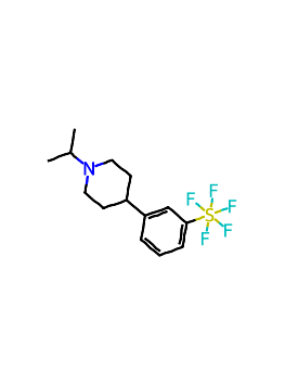 CC(C)N1CCC(c2cccc(S(F)(F)(F)(F)F)c2)CC1